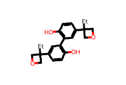 CCC1(c2ccc(O)c(-c3cc(C4(CC)COC4)ccc3O)c2)COC1